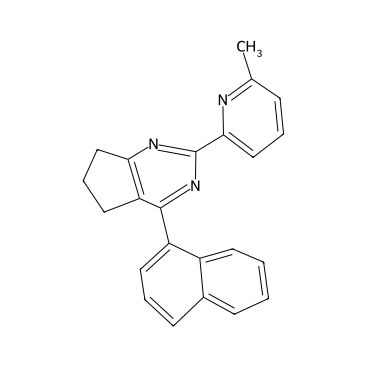 Cc1cccc(-c2nc3c(c(-c4cccc5ccccc45)n2)CCC3)n1